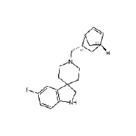 Fc1ccc2c(c1)C1(CCN(C[C@H]3C[C@H]4C=CC3C4)CC1)CN2